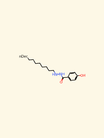 CCCCCCCCCCCCCCCCCCNNC(=O)c1ccc(O)cc1